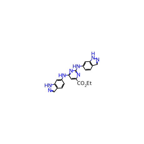 CCOC(=O)c1cc(Nc2ccc3cn[nH]c3c2)nc(Nc2ccc3cn[nH]c3c2)n1